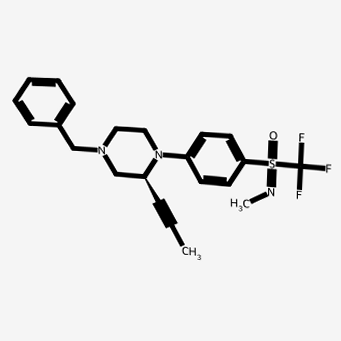 CC#C[C@H]1CN(Cc2ccccc2)CCN1c1ccc(S(=O)(=NC)C(F)(F)F)cc1